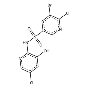 O=S(=O)(Nc1ncc(Cl)cc1O)c1cnc(Cl)c(Br)c1